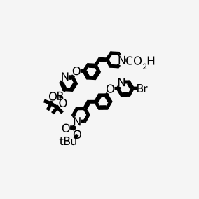 CC(C)(C)OC(=O)N1CCC(=Cc2cccc(Oc3ccc(Br)cn3)c2)CC1.CC1(C)OB(c2ccc(Oc3cccc(C=C4CCN(C(=O)O)CC4)c3)nc2)OC1(C)C